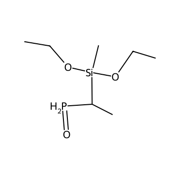 CCO[Si](C)(OCC)C(C)[PH2]=O